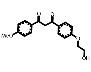 COc1ccc(C(=O)CC(=O)c2ccc(OCCO)cc2)cc1